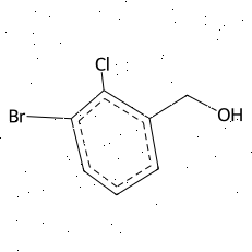 OCc1cccc(Br)c1Cl